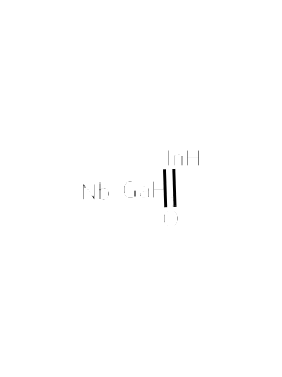 [GaH3].[Nb].[O]=[InH]